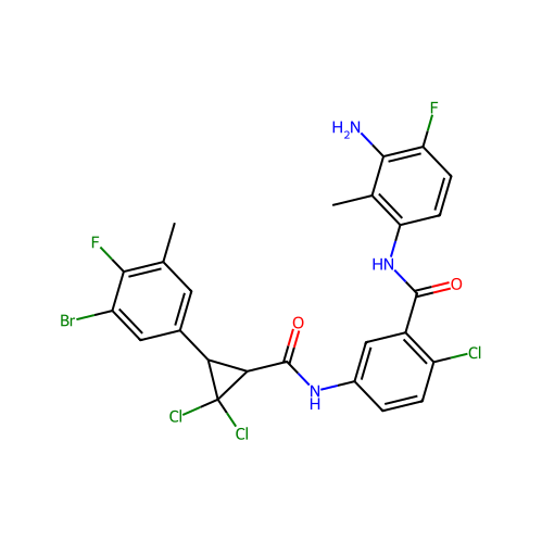 Cc1cc(C2C(C(=O)Nc3ccc(Cl)c(C(=O)Nc4ccc(F)c(N)c4C)c3)C2(Cl)Cl)cc(Br)c1F